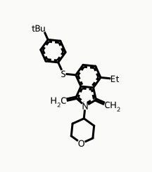 C=c1c2c(CC)ccc(Sc3ccc(C(C)(C)C)cc3)c2c(=C)n1C1CCOCC1